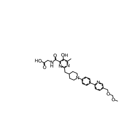 COCOCc1ccc(-c2ccc(N3CCC(Cc4nc(C)c(O)c(C(=O)NCC(=O)O)n4)CC3)cc2)nc1